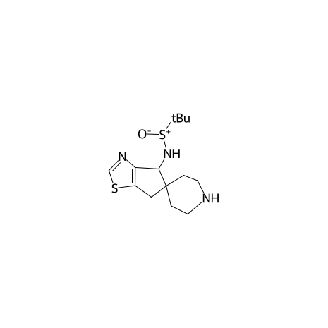 CC(C)(C)[S+]([O-])NC1c2ncsc2CC12CCNCC2